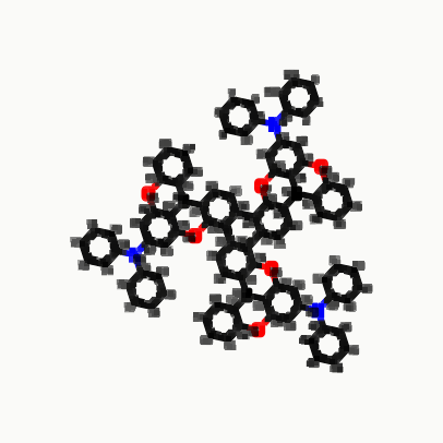 c1ccc(N(c2ccccc2)c2cc3c4c(c2)Oc2c(ccc5c2c2ccc6c(c2c2ccc7c(c52)Oc2cc(N(c5ccccc5)c5ccccc5)cc5c2B7c2ccccc2O5)Oc2cc(N(c5ccccc5)c5ccccc5)cc5c2B6c2ccccc2O5)B4c2ccccc2O3)cc1